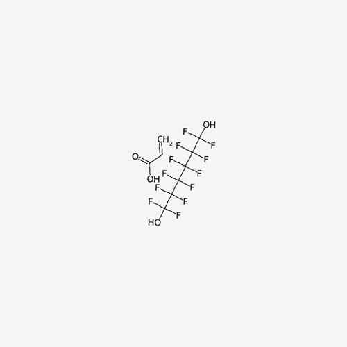 C=CC(=O)O.OC(F)(F)C(F)(F)C(F)(F)C(F)(F)C(F)(F)C(O)(F)F